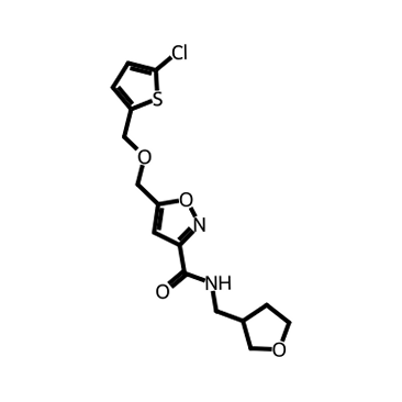 O=C(NCC1CCOC1)c1cc(COCc2ccc(Cl)s2)on1